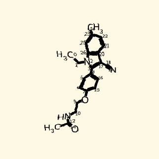 CCn1c(-c2ccc(OCCNC(C)=O)cc2)c(C#N)c2ccc(C)cc21